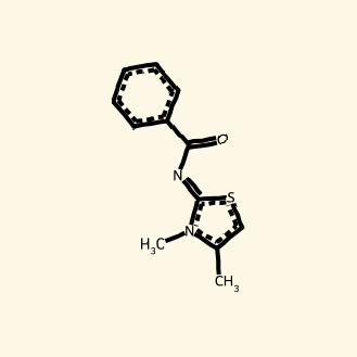 Cc1cs/c(=N\C(=O)c2ccccc2)n1C